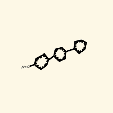 COc1ccc(-c2ccc(-c3ccccc3)cc2)cc1